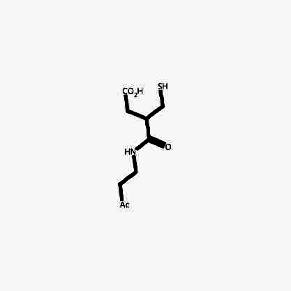 CC(=O)CCNC(=O)C(CS)CC(=O)O